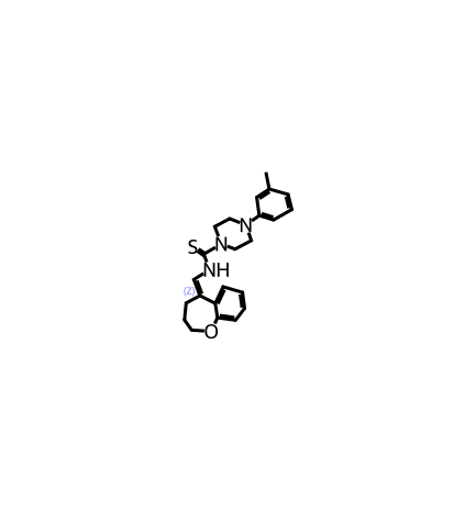 Cc1cccc(N2CCN(C(=S)N/C=C3/CCCOc4ccccc43)CC2)c1